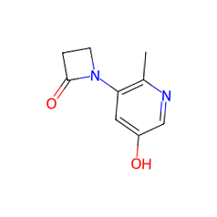 Cc1ncc(O)cc1N1CCC1=O